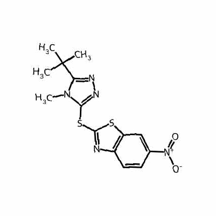 Cn1c(Sc2nc3ccc([N+](=O)[O-])cc3s2)nnc1C(C)(C)C